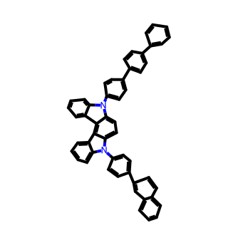 c1ccc(-c2ccc(-c3ccc(-n4c5ccccc5c5c6c7ccccc7n(-c7ccc(-c8ccc9ccccc9c8)cc7)c6ccc54)cc3)cc2)cc1